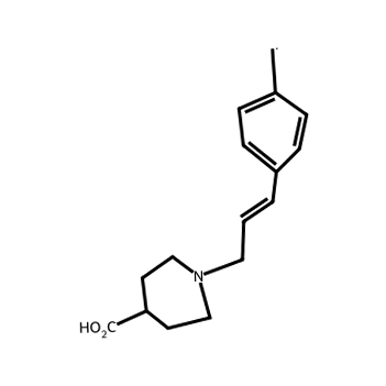 [CH2]c1ccc(/C=C/CN2CCC(C(=O)O)CC2)cc1